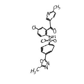 Cc1ccc(C(=O)c2cc(Cl)ccc2NS(=O)(=O)c2ccc(-c3nnc(C)o3)cc2)cn1